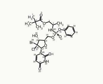 CC(COC(=O)C(C)(C)C)NP(=O)(OC[C@H]1O[C@@H](n2ccc(=O)[nH]c2=O)[C@](Cl)(Br)[C@@H]1O)Oc1ccccc1